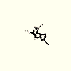 CCn1nc(NC(C)=O)c2sc3cc(C)ccc3c21